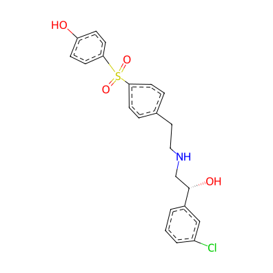 O=S(=O)(c1ccc(O)cc1)c1ccc(CCNC[C@H](O)c2cccc(Cl)c2)cc1